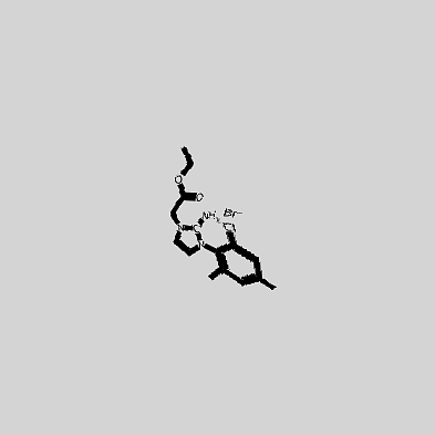 CCOC(=O)Cn1ccn(-c2c(C)cc(C)cc2Cl)[c+]1N.[Br-]